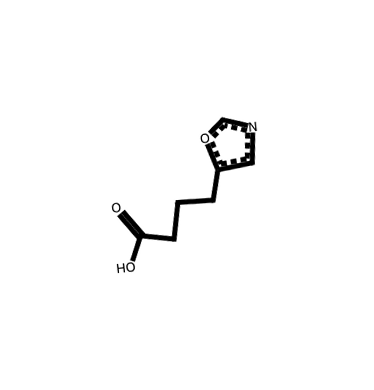 O=C(O)CCCc1cnco1